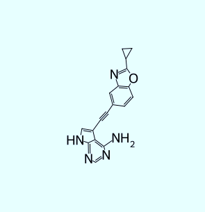 Nc1ncnc2[nH]cc(C#Cc3ccc4oc(C5CC5)nc4c3)c12